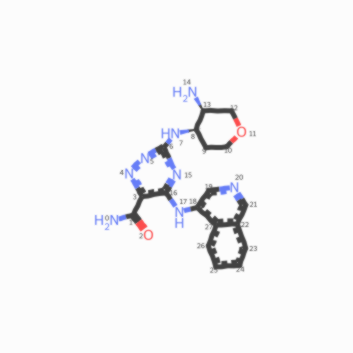 NC(=O)c1nnc(N[C@@H]2CCOC[C@@H]2N)nc1Nc1cncc2ccccc12